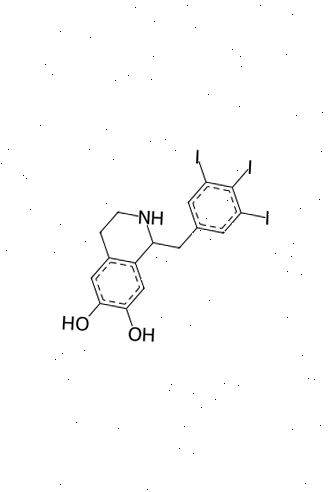 Oc1cc2c(cc1O)C(Cc1cc(I)c(I)c(I)c1)NCC2